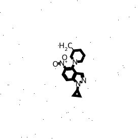 [CH2][C@@H]1CCCN(c2c([N+](=O)[O-])ccc3c2cnn3C2CC2)C1